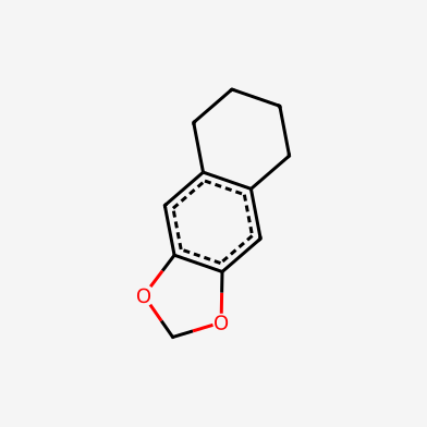 c1c2c(cc3c1OCO3)CCCC2